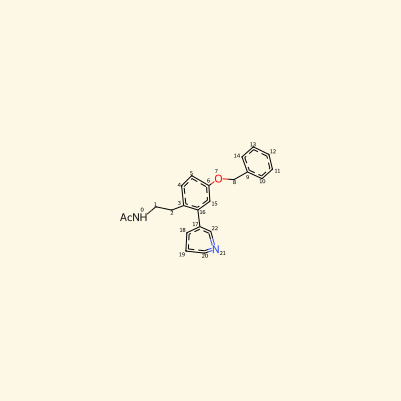 CC(=O)NCCc1ccc(OCc2ccccc2)cc1-c1cccnc1